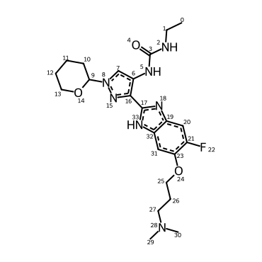 CCNC(=O)Nc1cn(C2CCCCO2)nc1-c1nc2cc(F)c(OCCCN(C)C)cc2[nH]1